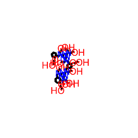 OCCOC1=CC=C(CN(CCO)c2nc(N(CCO)CCO)nc(N(CCO)Cc3ccc(OCCO)c(CN(CCO)c4nc(N(CCO)CCO)nc(N(CCO)Cc5ccccc5OCCO)n4)c3)n2)C=CC1